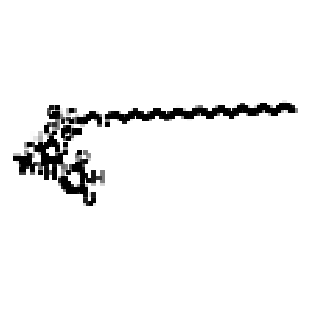 CCCCCCCCCCCCCCCCCCOCCOP(=O)(OC)O[C@H]1O[C@H](n2ccc(=O)[nH]c2=O)[C@@H]2OC(C)(C)O[C@@H]12